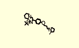 C[C@@H]1CCCN1CCCOc1ccc(/C(CN2CCCCC2)=N/OC(C)(C)C)cc1